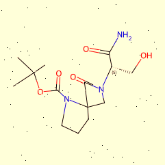 CC(C)(C)OC(=O)N1CCCC12CN([C@@H](CO)C(N)=O)C2=O